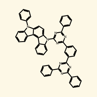 c1ccc(-c2nc(-c3ccccc3)nc(-c3cccc(-c4nc(-c5ccccc5)nc(-n5c6ccccc6c6c7c8ccccc8n(-c8ccccc8)c7ccc65)n4)c3)n2)cc1